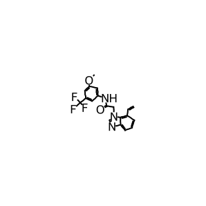 C=Cc1cccc2ncn(CC(=O)Nc3cc(OC)cc(C(F)(F)F)c3)c12